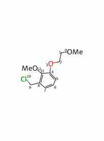 COCCOc1cccc(CCl)c1OC